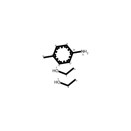 CCO.CCO.Cc1ccc(N)cc1